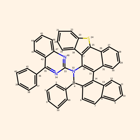 c1ccc(B2c3ccc4ccccc4c3-c3c(c4c5ccccc5sc4c4ccccc34)N2c2nc(-c3ccccc3)c3ccccc3n2)cc1